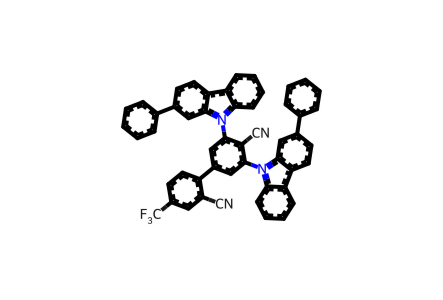 N#Cc1cc(C(F)(F)F)ccc1-c1cc(-n2c3ccccc3c3ccc(-c4ccccc4)cc32)c(C#N)c(-n2c3ccccc3c3ccc(-c4ccccc4)cc32)c1